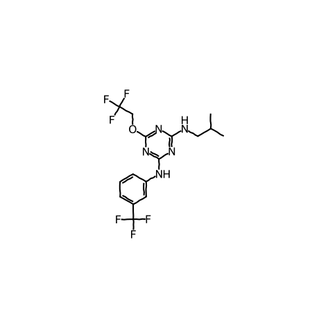 CC(C)CNc1nc(Nc2cccc(C(F)(F)F)c2)nc(OCC(F)(F)F)n1